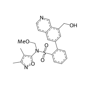 COCN(c1onc(C)c1C)S(=O)(=O)c1ccccc1-c1cc(CO)c2cnccc2c1